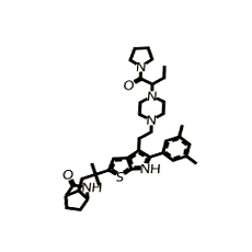 CCC(C(=O)N1CCCC1)N1CCN(CCc2c(-c3cc(C)cc(C)c3)[nH]c3sc(C(C)(C)CC4C5CCC4C(=O)N5)cc23)CC1